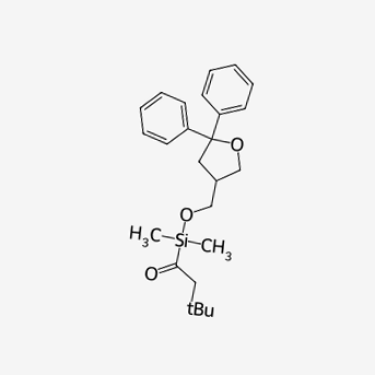 CC(C)(C)CC(=O)[Si](C)(C)OCC1COC(c2ccccc2)(c2ccccc2)C1